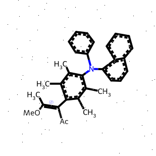 CO/C(C)=C(\C(C)=O)c1c(C)c(C)c(N(c2ccccc2)c2cccc3ccccc23)c(C)c1C